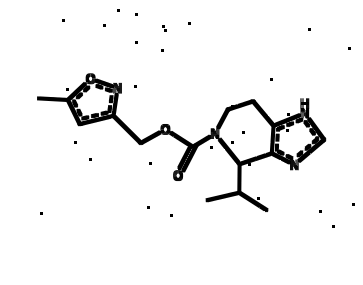 Cc1cc(COC(=O)N2CCc3[nH]cnc3C2C(C)C)no1